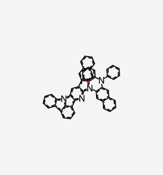 c1ccc(N(c2ccccc2)c2cc3ccccc3cc2-n2c3cc4ccccc4cc3c3cc4c(nc32)c2cccc3c5ccccc5n4c32)cc1